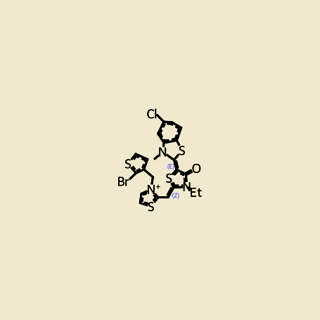 CCn1c(=O)/c(=C2\Sc3ccc(Cl)cc3N2C)s/c1=C\c1scc[n+]1Cc1ccsc1Br